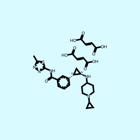 Cc1nnc(NC(=O)c2cccc([C@@H]3C[C@H]3NC3CCN(C4CC4)CC3)c2)s1.O=C(O)C=CC(=O)O.O=C(O)C=CC(=O)O